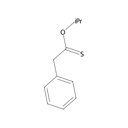 CC(C)OC(=S)Cc1ccccc1